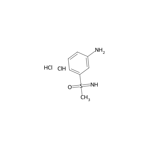 CS(=N)(=O)c1cccc(N)c1.Cl.Cl